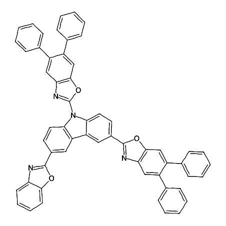 c1ccc(-c2cc3nc(-c4ccc5c(c4)c4cc(-c6nc7ccccc7o6)ccc4n5-c4nc5cc(-c6ccccc6)c(-c6ccccc6)cc5o4)oc3cc2-c2ccccc2)cc1